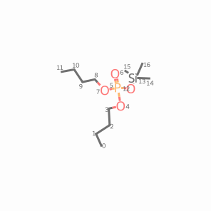 CCCCOP(=O)(OCCCC)O[Si](C)(C)C